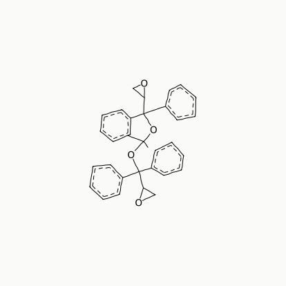 CC(C)(OC(c1ccccc1)(c1ccccc1)C1CO1)OC(c1ccccc1)(c1ccccc1)C1CO1